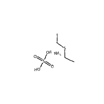 CCSCC.N.O=S(=O)(O)O